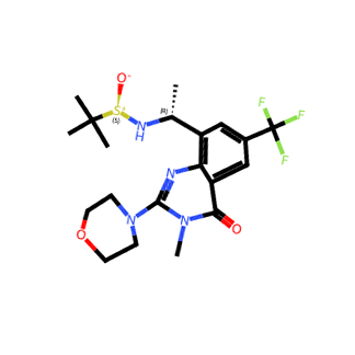 C[C@@H](N[S@+]([O-])C(C)(C)C)c1cc(C(F)(F)F)cc2c(=O)n(C)c(N3CCOCC3)nc12